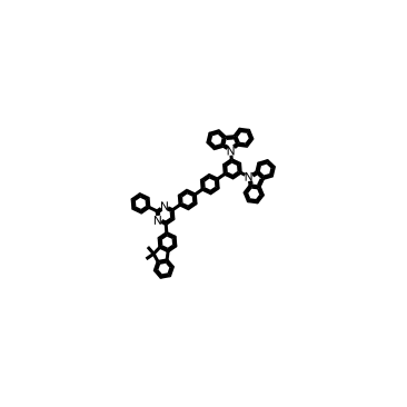 CC1(C)c2ccccc2-c2ccc(-c3cc(-c4ccc(-c5ccc(-c6cc(-n7c8ccccc8c8ccccc87)cc(-n7c8ccccc8c8ccccc87)c6)cc5)cc4)nc(-c4ccccc4)n3)cc21